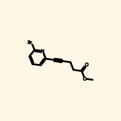 COC(=O)CCC#Cc1cccc(Br)n1